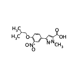 CC(C)COc1ccc(-c2cc(C(=O)O)n(C)n2)cc1[N+](=O)[O-]